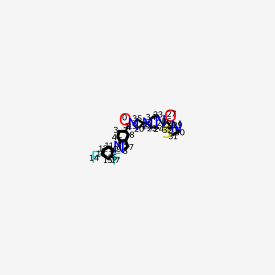 O=C(c1ccc2c(ccn2-c2ccc(F)cc2F)c1)N1CC(N2CCN(C(=O)c3nccs3)CC2)C1